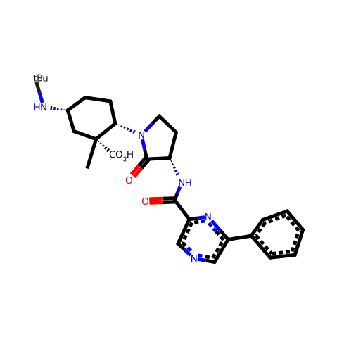 CC(C)(C)N[C@@H]1CC[C@H](N2CC[C@H](NC(=O)c3cncc(-c4ccccc4)n3)C2=O)[C@](C)(C(=O)O)C1